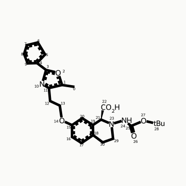 Cc1oc(-c2ccccc2)nc1CCOc1ccc2c(c1)[C@@H](C(=O)O)N(NC(=O)OC(C)(C)C)CC2